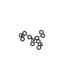 c1ccc(N(c2ccc(-c3cccc4ccccc34)cc2)c2ccc(-c3cccc4oc5ccccc5c34)cc2)c(-c2cccc3sc4ccccc4c23)c1